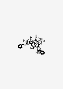 C[C@@H](O)[C@H](NC(=O)[C@H](Cc1c[nH]c2ccccc12)NC(=O)[C@@H]1CCCN1C(=O)[C@@H](NC(=O)OCc1ccccc1)[C@@H](C)O)C(N)=O